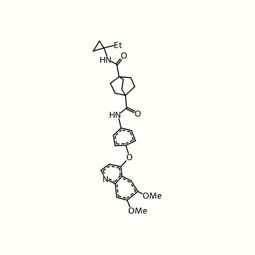 CCC1(NC(=O)C23CCC(C(=O)Nc4ccc(Oc5ccnc6cc(OC)c(OC)cc56)cc4)(CC2)CC3)CC1